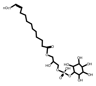 CCCCCCCC/C=C\CCCCCCCCCC(=O)OCC(O)COP(=O)(O)OC1C(O)C(O)C(O)C(O)C1O